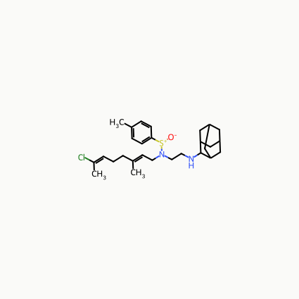 C/C(Cl)=C\CC/C(C)=C/CN(CCNC1C2CC3CC(C2)CC1C3)[S+]([O-])c1ccc(C)cc1